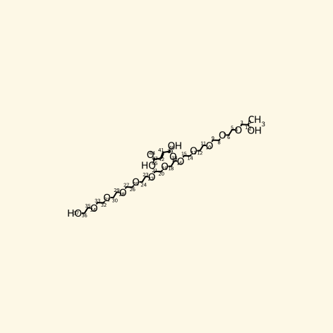 CC(O)COCCOCCOCCOCCOCCOCCOCCOCCOCCOCCOCCO.O=C(O)C=CC(=O)O